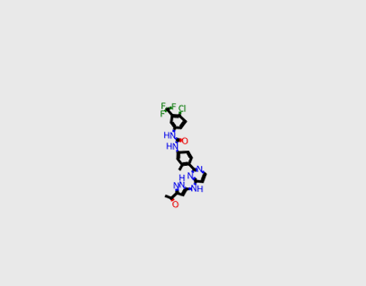 CC(=O)c1cc(Nc2ccnc(-c3ccc(NC(=O)Nc4ccc(Cl)c(C(F)(F)F)c4)cc3C)n2)[nH]n1